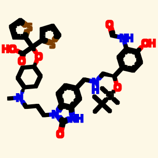 CN(CCCn1c(=O)[nH]c2cc(CNC[C@H](O[Si](C)(C)C(C)(C)C)c3ccc(O)c(NC=O)c3)ccc21)[C@H]1CC[C@H](OC(C(=O)O)(c2cccs2)c2cccs2)CC1